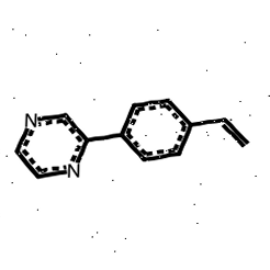 C=[C]c1ccc(-c2cnccn2)cc1